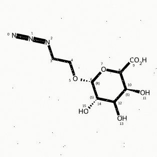 [N-]=[N+]=NCCO[C@@H]1OC(C(=O)O)[C@@H](O)C(O)[C@@H]1O